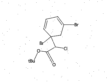 CC(C)(C)OC(=O)C(Cl)C1(Br)C=CC=C(Br)C1